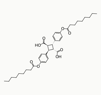 CCCCCCCCC(=O)Oc1ccc([C@H]2[C@H](C(=O)O)[C@H](c3ccc(OC(=O)CCCCCCCC)cc3)[C@H]2C(=O)O)cc1